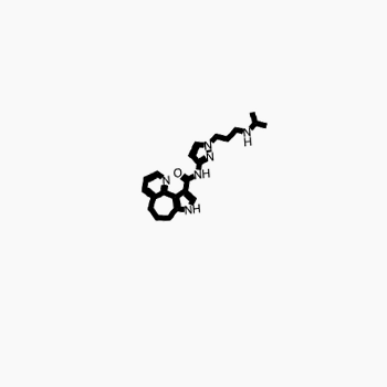 CC(C)NCCCn1ccc(NC(=O)c2c[nH]c3c2-c2ncccc2CCC3)n1